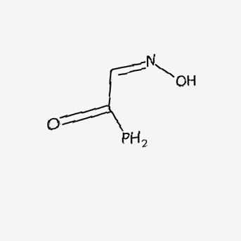 O=C(P)/C=N\O